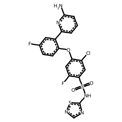 Nc1cccc(-c2cc(F)ccc2Oc2cc(F)c(S(=O)(=O)Nc3ncns3)cc2Cl)n1